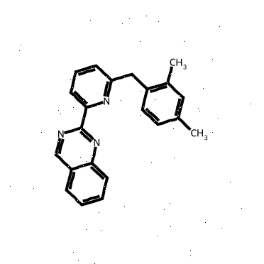 Cc1ccc(Cc2cccc(-c3ncc4ccccc4n3)n2)c(C)c1